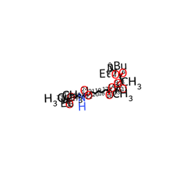 CCCCC(CC)COC(=O)C(C)OC(=O)C(C)OC(=O)CCCCCOC(=O)NCCOC(=O)C(C)(C)CC